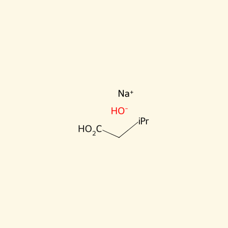 CC(C)CC(=O)O.[Na+].[OH-]